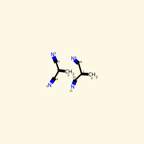 C=C(C#N)C#N.C=C(C#N)C#N